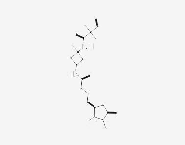 C=CC(C)(C)C(=C)NC1(C)CC(BC(=C)CC/C=C2\CC(=C)C(C)C2C)C1